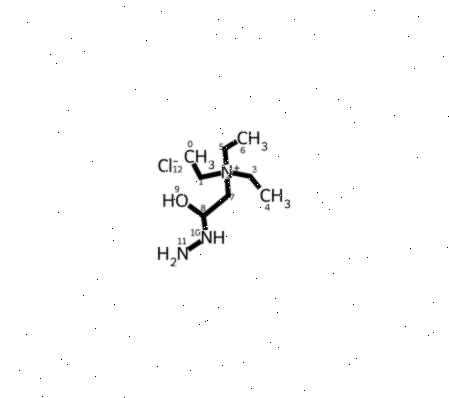 CC[N+](CC)(CC)CC(O)NN.[Cl-]